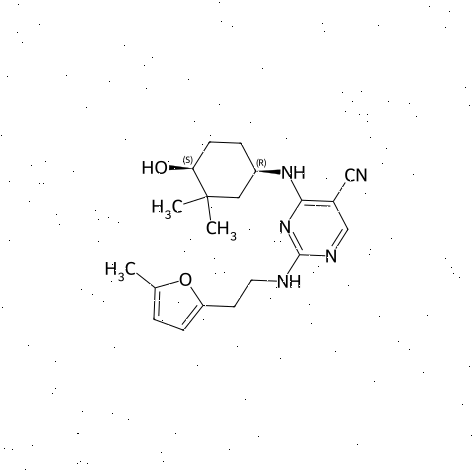 Cc1ccc(CCNc2ncc(C#N)c(N[C@@H]3CC[C@H](O)C(C)(C)C3)n2)o1